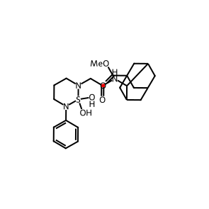 COC(=O)C12CC3CC(C1)C(NC(=O)CN1CCCN(c4ccccc4)S1(O)O)C(C3)C2